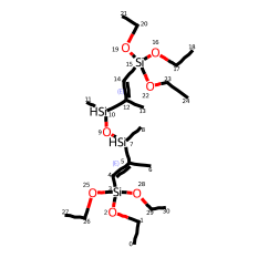 CCO[Si](/C=C(\C)[SiH](C)O[SiH](C)/C(C)=C/[Si](OCC)(OCC)OCC)(OCC)OCC